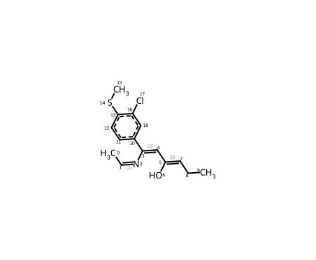 C\C=N/C(=C\C(O)=C\CC)c1ccc(SC)c(Cl)c1